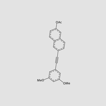 COc1cc(C#Cc2ccc3cc(OC(C)=O)ccc3c2)cc(OC)c1